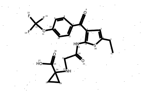 CCc1cc(C(=O)c2ccc(OC(F)(F)F)cc2)c(NC(=O)CNC2(C(=O)O)CC2)s1